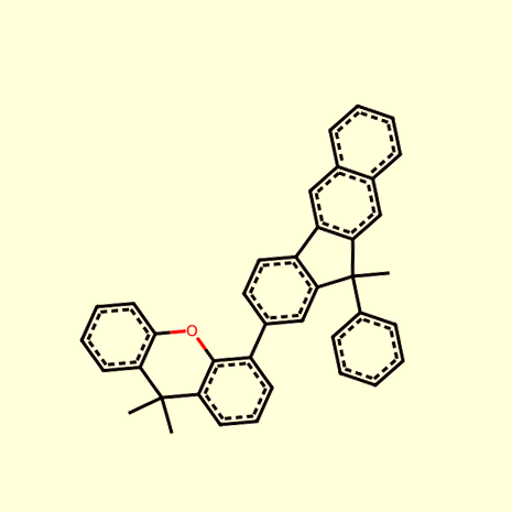 CC1(C)c2ccccc2Oc2c(-c3ccc4c(c3)C(C)(c3ccccc3)c3cc5ccccc5cc3-4)cccc21